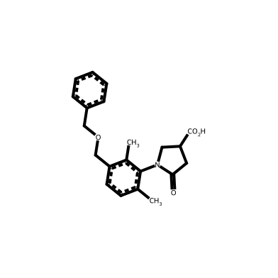 Cc1ccc(COCc2ccccc2)c(C)c1N1CC(C(=O)O)CC1=O